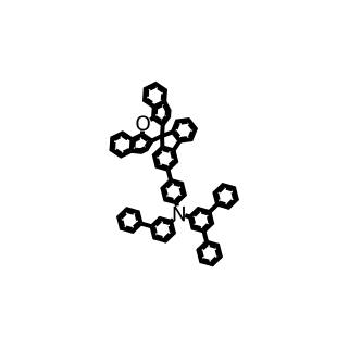 c1ccc(-c2cccc(N(c3ccc(-c4ccc5c(c4)-c4ccccc4C54c5ccc6ccccc6c5Oc5c4ccc4ccccc54)cc3)c3cc(-c4ccccc4)cc(-c4ccccc4)c3)c2)cc1